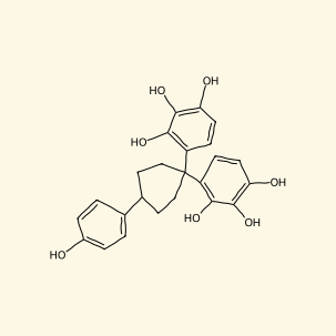 Oc1ccc(C2CCC(c3ccc(O)c(O)c3O)(c3ccc(O)c(O)c3O)CC2)cc1